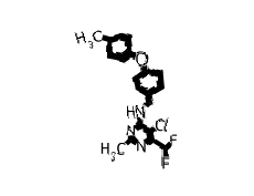 Cc1ccc(Oc2ccc(CNc3nc(C)nc(C(F)F)c3Cl)cc2)cc1